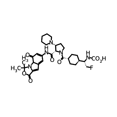 CC1(C)OC(=O)C2=CC3=CC(NC(=O)[C@@H]4[C@H](N5CCCCC5)CCN4C(=O)[C@H]4CC[C@H]([C@@H](CF)NC(=O)O)CC4)=CC(=O)C3N21